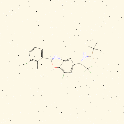 Cc1c(Br)cccc1-c1nc2cc(C(N[S+]([O-])C(C)(C)C)C(F)(F)F)cc(Cl)c2o1